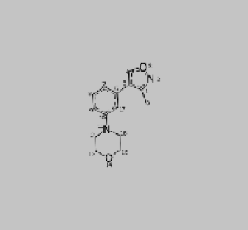 Cc1no[c]c1-c1cccc(N2CCOCC2)c1